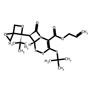 C=CCOC(=O)C1=C(SC(C)(C)C)SS[C@@H]2[C@@H]([C@]3(C(C)(C)C)OCC34CO4)C(=O)N12